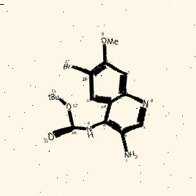 COc1cc2ncc(N)c(NC(=O)OC(C)(C)C)c2cc1Br